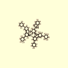 N#Cc1c(-n2c3ccc(-c4ccccc4)cc3c3cc(-c4ccccc4)ccc32)cc(-c2nc3ccccc3s2)cc1-n1c2ccc(-c3ccccc3)cc2c2cc(-c3ccccc3)ccc21